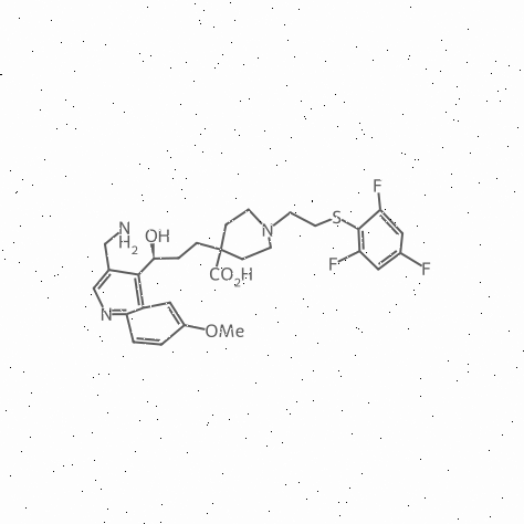 COc1ccc2ncc(CN)c([C@@H](O)CCC3(C(=O)O)CCN(CCSc4c(F)cc(F)cc4F)CC3)c2c1